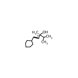 CC(C)[C@](C)(O)C=CC1CCCCC1